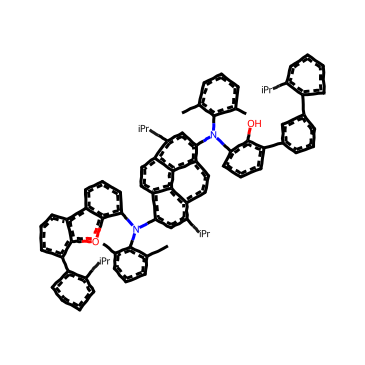 Cc1cccc(C)c1N(c1cccc(-c2cccc(-c3ccccc3C(C)C)c2)c1O)c1cc(C(C)C)c2ccc3c(N(c4c(C)cccc4C)c4cccc5c4oc4c(-c6ccccc6C(C)C)cccc45)cc(C(C)C)c4ccc1c2c43